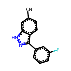 N#Cc1ccc2c(-c3cccc(F)c3)n[nH]c2c1